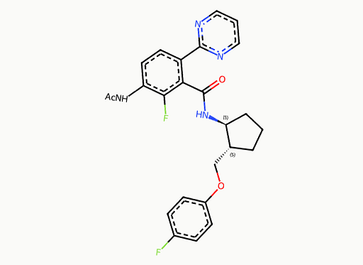 CC(=O)Nc1ccc(-c2ncccn2)c(C(=O)N[C@H]2CCC[C@@H]2COc2ccc(F)cc2)c1F